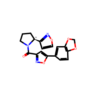 O=C(c1cc(-c2ccc3c(c2)OCO3)on1)N1CCC[C@H]1c1ccon1